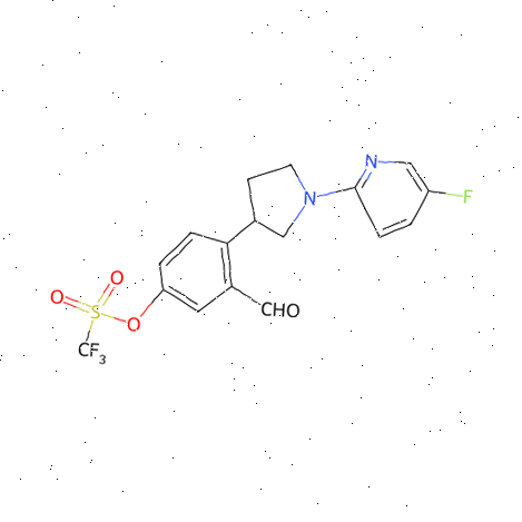 O=Cc1cc(OS(=O)(=O)C(F)(F)F)ccc1C1CCN(c2ccc(F)cn2)C1